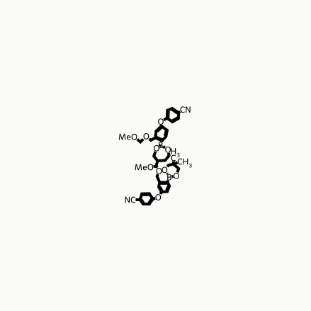 COCOCc1cc(Oc2ccc(C#N)cc2)ccc1B1OCCC(C(OC)OCc2cc(Oc3ccc(C#N)cc3)ccc2B2OCC(C)(C)CO2)CO1